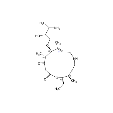 CC[C@H]1OC(=O)CC(=O)[C@H](C)[C@@H](OCC(O)C(C)N)/C(C)=C/CNCC[C@H]1C